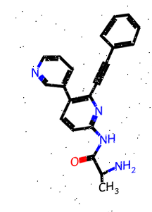 CC(N)C(=O)Nc1ccc(-c2cccnc2)c(C#Cc2ccccc2)n1